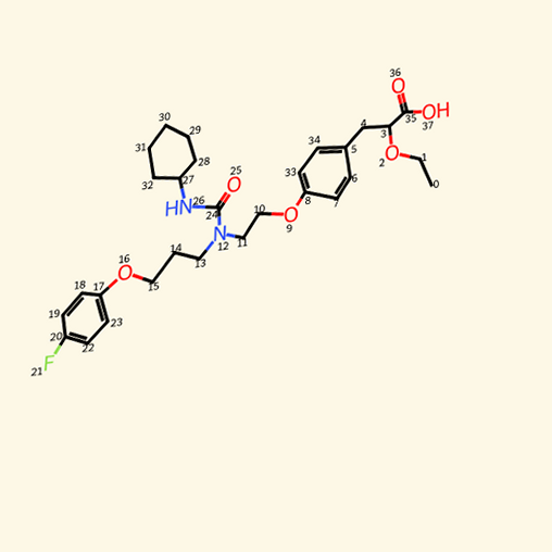 CCOC(Cc1ccc(OCCN(CCCOc2ccc(F)cc2)C(=O)NC2CCCCC2)cc1)C(=O)O